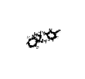 Cc1cccc(Nc2nc3ccccc3[nH]2)c1